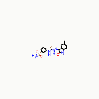 Cc1ccc2c(c1)C(=NNC(=S)Nc1cccc(S(N)(=O)=O)c1)C(=O)N2C